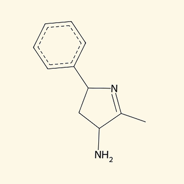 CC1=NC(c2ccccc2)CC1N